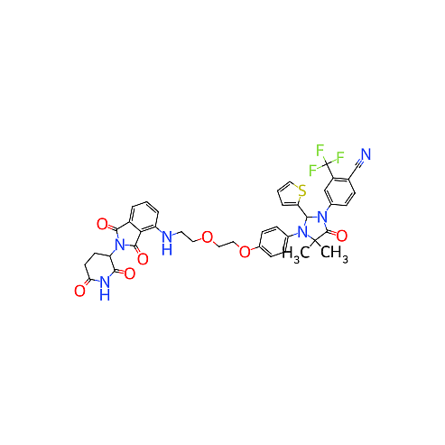 CC1(C)C(=O)N(c2ccc(C#N)c(C(F)(F)F)c2)C(c2cccs2)N1c1ccc(OCCOCCNc2cccc3c2C(=O)N(C2CCC(=O)NC2=O)C3=O)cc1